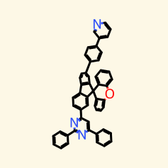 c1ccc(-c2cc(-c3ccc4c(c3)C3(c5ccccc5Oc5ccccc53)c3cc(-c5ccc(-c6cccnc6)cc5)ccc3-4)nc(-c3ccccc3)n2)cc1